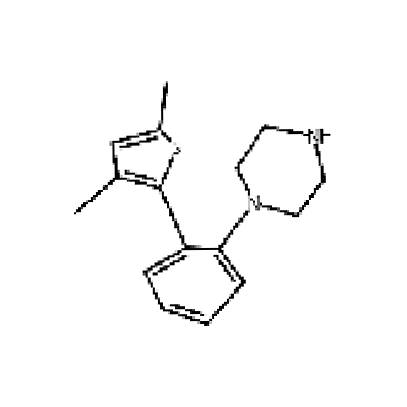 Cc1cc(C)c(-c2ccccc2N2CCNCC2)s1